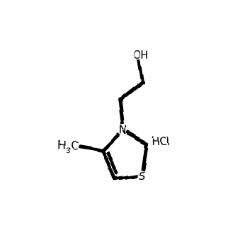 CC1=CSCN1CCO.Cl